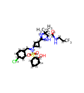 CC1(C)N=C(C23CC(N(Cc4ccc(Cl)cc4)S(=O)(=O)c4ccccc4O)(C2)C3)N[C@H]1C(=O)NCCC(F)(F)F